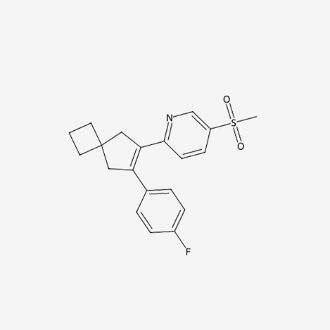 CS(=O)(=O)c1ccc(C2=C(c3ccc(F)cc3)CC3(CCC3)C2)nc1